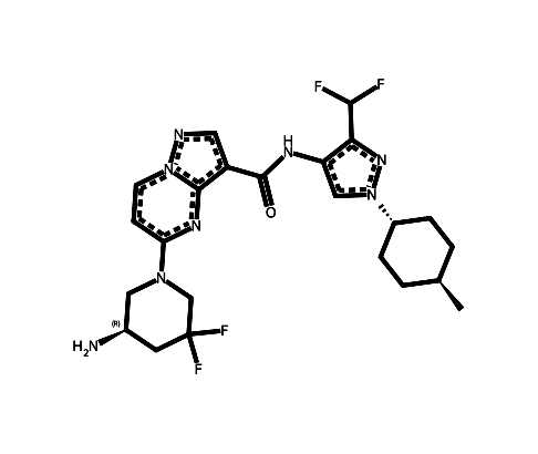 C[C@H]1CC[C@H](n2cc(NC(=O)c3cnn4ccc(N5C[C@H](N)CC(F)(F)C5)nc34)c(C(F)F)n2)CC1